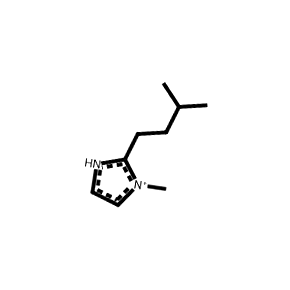 CC(C)CCc1[nH]cc[n+]1C